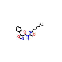 CC(=O)CCCCc1nc(NC(=O)c2ncoc2-c2ccccc2)co1